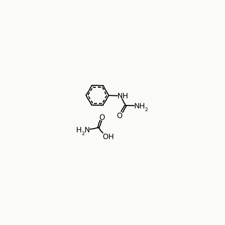 NC(=O)Nc1ccccc1.NC(=O)O